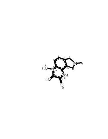 CN1Cc2ccc3c([nH]c(=O)c(=O)n3O)c2C1